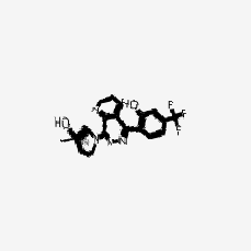 C[C@]1(O)CCN(c2nnc(-c3ccc(C(F)(F)F)cc3O)c3cccnc23)C1